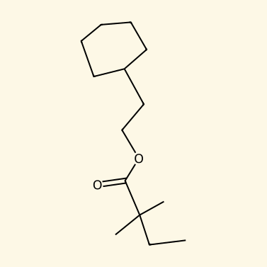 CCC(C)(C)C(=O)OCCC1CCCCC1